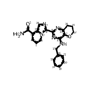 NC(=O)c1cccn2c(-c3nc4c(c(NCc5ccccc5)n3)OCCC4)ncc12